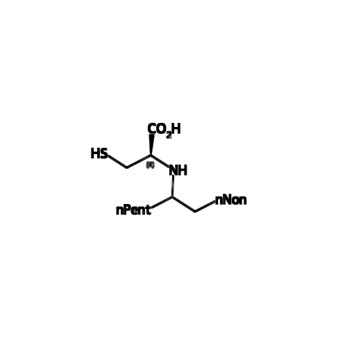 CCCCCCCCCCC(CCCCC)N[C@@H](CS)C(=O)O